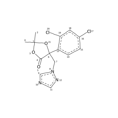 CC1(C)OC(=O)C(Cn2cncn2)(c2ccc(Cl)cc2Cl)O1